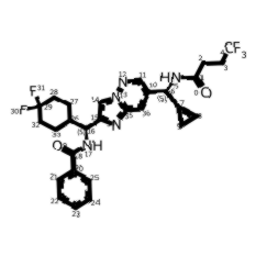 O=C(CCC(F)(F)F)N[C@@H](C1=CC1)c1cnn2cc([C@@H](NC(=O)c3ccccc3)C3CCC(F)(F)CC3)nc2c1